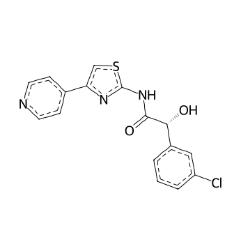 O=C(Nc1nc(-c2ccncc2)cs1)[C@H](O)c1cccc(Cl)c1